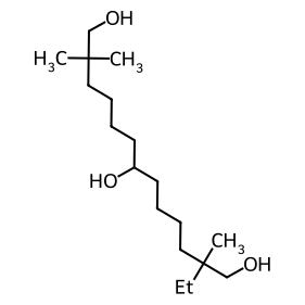 CCC(C)(CO)CCCCC(O)CCCCC(C)(C)CO